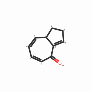 O=C1C=CC=CC2CCC=C12